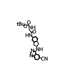 CC(C)(C)OC(=O)NCC(=O)Nc1ccc2c(c1)CC(Nc1ncnc3ccc(C#N)cc13)C2